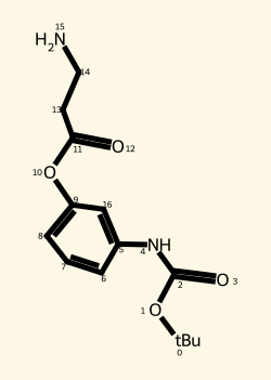 CC(C)(C)OC(=O)Nc1cccc(OC(=O)CCN)c1